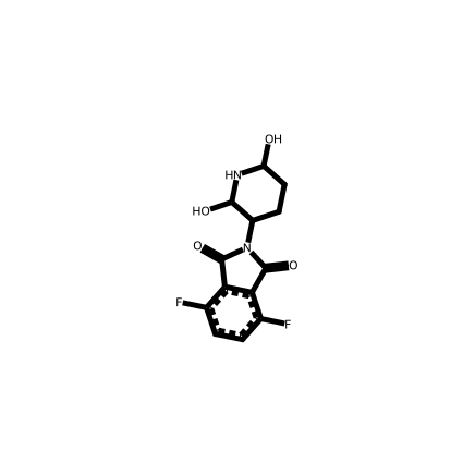 O=C1c2c(F)ccc(F)c2C(=O)N1C1CCC(O)NC1O